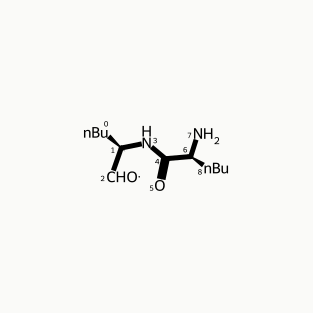 CCCC[C@H]([C]=O)NC(=O)[C@@H](N)CCCC